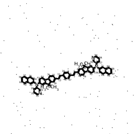 CC1(C)c2cc(/C=C/c3ccc(/C=C/c4ccc5c(c4)C(C)(C)c4cc(N(c6cccnc6)c6ccc7ccccc7c6)ccc4-5)cc3)ccc2-c2ccc(N(c3cccnc3)c3ccc4ccccc4c3)cc21